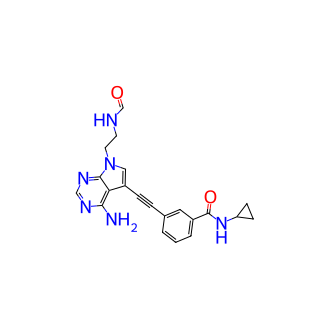 Nc1ncnc2c1c(C#Cc1cccc(C(=O)NC3CC3)c1)cn2CCNC=O